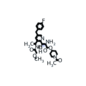 C=C(NC(=O)COC)c1cc(Cc2ccc(F)cc2)cnc1/C(O)=C(\N)C(=O)OC1CCN(C(C)=O)CC1